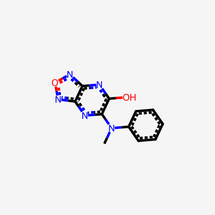 CN(c1ccccc1)c1nc2nonc2nc1O